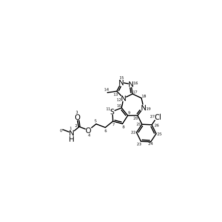 CNC(=O)OCCc1cc2c(s1)-n1c(C)nnc1CN=C2c1ccccc1Cl